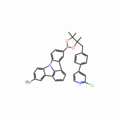 CC(C)(C)c1ccc2c(c1)c1cccc3c4cc(B5OC(C)(C)C(C)(Cc6ccc(-c7ccnc(Cl)c7)cc6)O5)ccc4n2c31